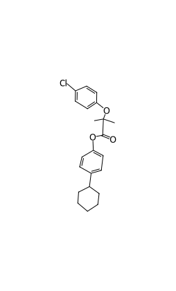 CC(C)(Oc1ccc(Cl)cc1)C(=O)Oc1ccc(C2CCCCC2)cc1